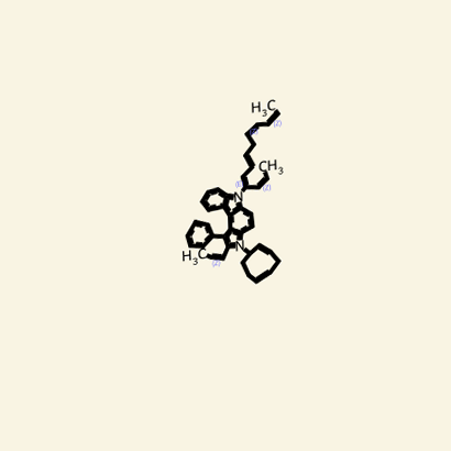 C/C=C\C=C/CC=C/C=C(\C=C/C)n1c2ccccc2c2c3c(-c4ccccc4)c(/C=C\C)n(C4C=CCC=CCC4)c3ccc21